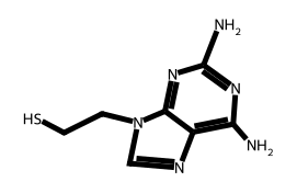 Nc1nc(N)c2ncn(CCS)c2n1